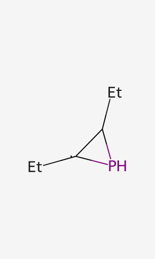 CC[C]1PC1CC